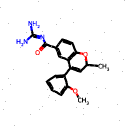 COc1ccccc1C1=CC(C)Oc2ccc(C(=O)N=C(N)N)cc21